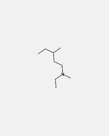 CCC(C)CCN(C)CC